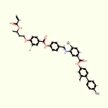 [C-]#[N+]c1ccc(-c2ccc(OC(=O)c3ccc(C#N)c(/N=C/c4ccc(OC(=O)c5ccc(OCCC(C)OC(=O)C=C)c(F)c5)cc4)c3)cc2C)cc1